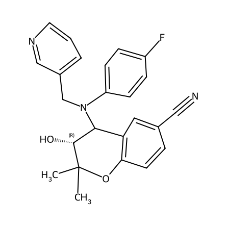 CC1(C)Oc2ccc(C#N)cc2C(N(Cc2cccnc2)c2ccc(F)cc2)[C@H]1O